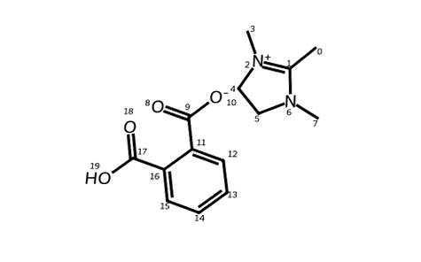 CC1=[N+](C)CCN1C.O=C([O-])c1ccccc1C(=O)O